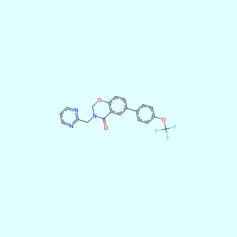 O=C1c2cc(-c3ccc(OC(F)(F)F)cc3)ccc2OCN1Cc1ncccn1